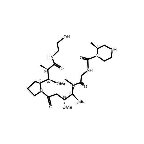 CC[C@H](C)[C@@H]([C@@H](CC(=O)N1CCC[C@H]1[C@H](OC)[C@@H](C)C(=O)NCCO)OC)N(C)C(=O)CNC(=O)N1CCNC[C@@H]1C